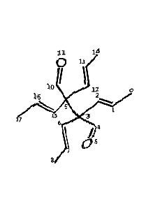 CC=CC(C=O)(C=CC)C(C=O)(C=CC)C=CC